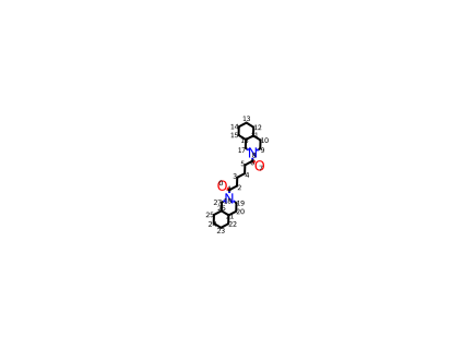 O=C(CCCCC(=O)N1CCC2CCCCC2C1)N1CCC2CCCCC2C1